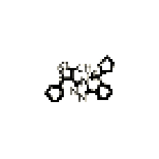 Cc1onc(-c2ccccc2)c1-c1nnc2c3ccccc3c(C3CCCC3)nn12